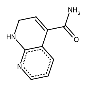 NC(=O)C1=CCNc2ncccc21